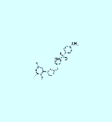 Cc1ccc(S(=O)(=O)n2cc(CN3CCC(c4cc(F)cc(F)c4F)C3)cn2)cc1